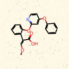 COC=C(C(=O)O)c1ccccc1Oc1cc(Oc2ccccc2)ccn1